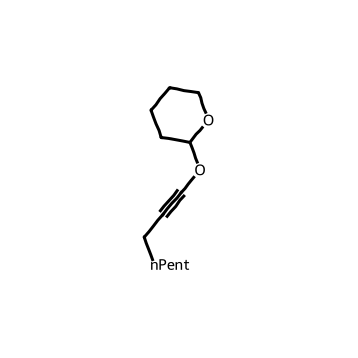 CCCCCCC#COC1CCCCO1